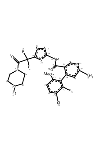 CCN1CCN(C(=O)C(F)(F)c2nnc(NC(=O)c3cnc(C)cc3-c3c(OC)ccc(Cl)c3F)s2)CC1